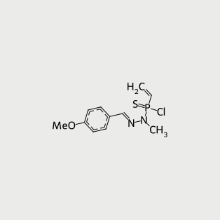 C=CP(=S)(Cl)N(C)/N=C/c1ccc(OC)cc1